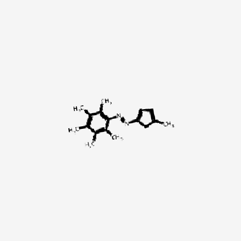 CC1=CC=C(N=Nc2c(C)c(C)c(C)c(C)c2C)C1